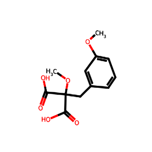 COc1cccc(CC(OC)(C(=O)O)C(=O)O)c1